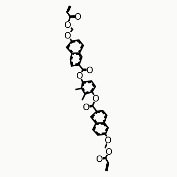 C=CC(=O)OCOc1ccc2cc(C(=O)Oc3ccc(OC(=O)c4ccc5cc(OCOC(=O)C=C)ccc5c4)c(C)c3C)ccc2c1